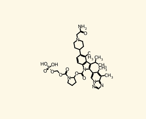 Cc1c(-c2c(C(C)C)c3c(C)c(C4CCN(CC(N)=O)CC4)ccc3n2C(=O)OC2CCCN2C(=O)OCOP(=O)(O)O)cn2ncnc2c1C